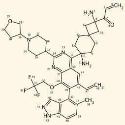 C=CC(=O)C1(N)CC2(CCC(N)(c3nc(C4CCN(C5CCOC5)CC4)nc4c(OCC(F)(F)F)c(-c5c(C)ccc6[nH]ncc56)c(C=C)cc34)CC2)C1